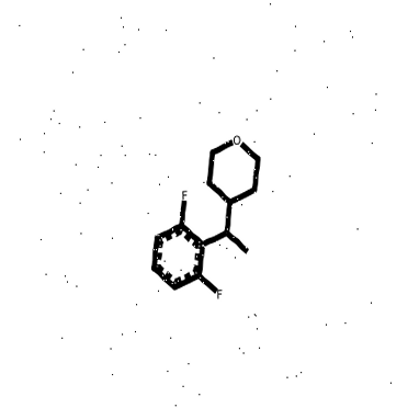 CC(c1c(F)cccc1F)C1CCOCC1